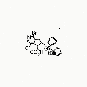 CC(C)(C)[Si](OCC1Cc2c(Br)ncc(Cl)c2C1CC(=O)O)(c1ccccc1)c1ccccc1